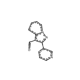 O=Cc1c(-c2cccnc2)nn2ccccc12